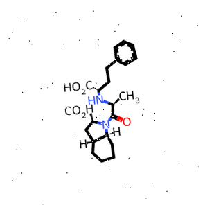 C[C@H](N[C@@H](CCc1ccccc1)C(=O)O)C(=O)N1[C@H](C(=O)O)C[C@H]2CCCC[C@@H]21